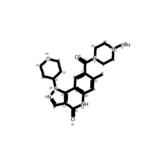 CCCCN1CCN(C(=O)c2cc3c(cc2C)[nH]c(=O)c2cnn(C4CCOCC4)c23)CC1